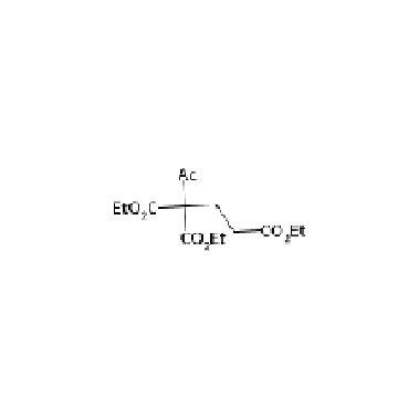 CCOC(=O)CCC(C(C)=O)(C(=O)OCC)C(=O)OCC